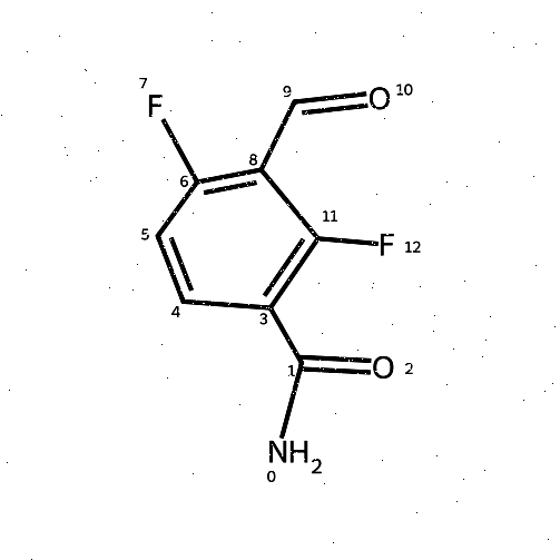 NC(=O)c1ccc(F)c(C=O)c1F